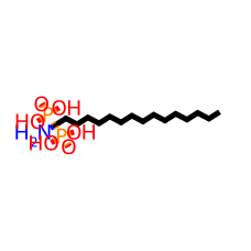 CCCCCCCCCCCCCCCC(N)(P(=O)(O)O)P(=O)(O)O